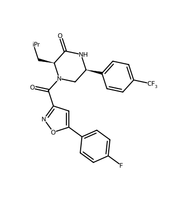 CC(C)C[C@H]1C(=O)N[C@@H](c2ccc(C(F)(F)F)cc2)CN1C(=O)c1cc(-c2ccc(F)cc2)on1